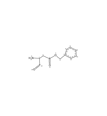 NC(CC(=O)OCc1ccccc1)P=O